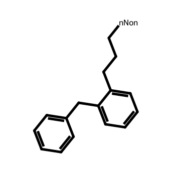 CCCCCCCCCCCCc1ccccc1Cc1ccccc1